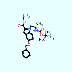 CCOC(=O)c1cc2cc(OCc3ccccc3)ccc2n1C[C@H](C)NC(=O)OC(C)(C)C